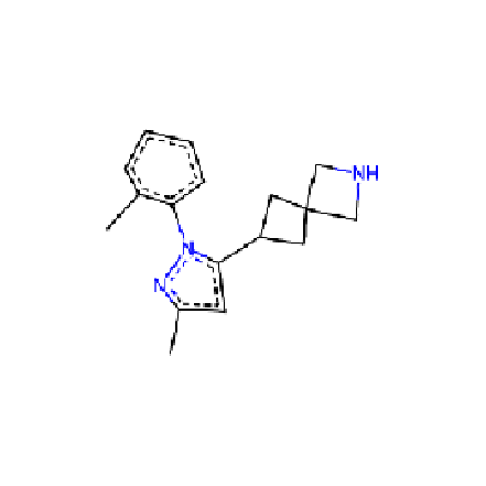 Cc1cc(C2CC3(CNC3)C2)n(-c2ccccc2C)n1